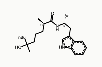 CCCCC(C)(O)CCC[C@@H](C)C(=O)N[C@@H](Cc1c[nH]c2ccccc12)C(C)=O